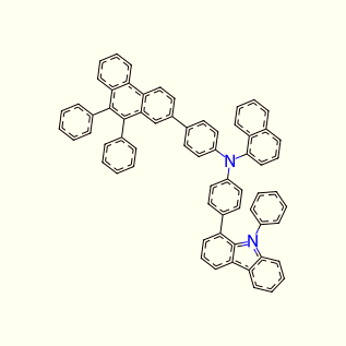 c1ccc(-c2c(-c3ccccc3)c3cc(-c4ccc(N(c5ccc(-c6cccc7c8ccccc8n(-c8ccccc8)c67)cc5)c5cccc6ccccc56)cc4)ccc3c3ccccc23)cc1